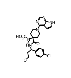 CN(C(=O)O)C1(C(=O)NC(CCO)c2ccc(Cl)cc2)CCN(c2ncnc3[nH]ccc23)CC1